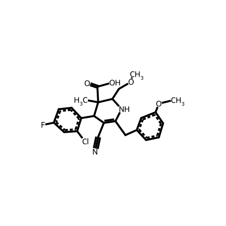 COCC1NC(Cc2cccc(OC)c2)=C(C#N)C(c2ccc(F)cc2Cl)C1(C)C(=O)O